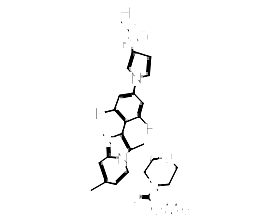 COC(=O)N1CCO[C@@H](Cc2c(-c3c(F)cc(-n4ccc(S(N)(=O)=O)c4)cc3F)nc3cc(C)ccn23)C1